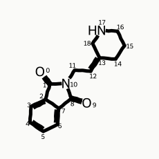 O=C1c2ccccc2C(=O)N1CC=C1CCCNC1